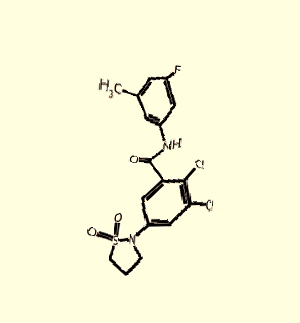 Cc1cc(F)cc(NC(=O)c2cc(N3CCCS3(=O)=O)cc(Cl)c2Cl)c1